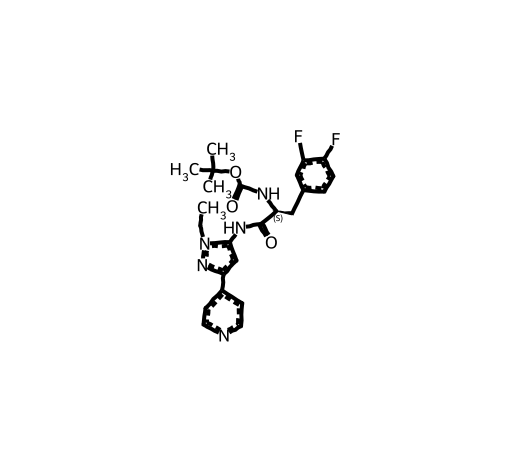 CCn1nc(-c2ccncc2)cc1NC(=O)[C@H](Cc1ccc(F)c(F)c1)NC(=O)OC(C)(C)C